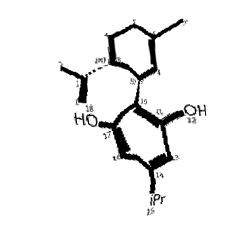 C=C(C)[C@@H]1CCC(C)=C[C@H]1c1c(O)cc(C(C)C)cc1O